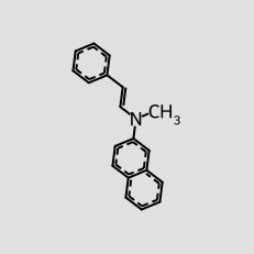 CN(C=Cc1ccccc1)c1ccc2ccccc2c1